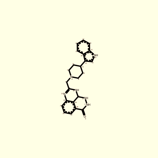 O=C1NNC2NC(CN3CCC(c4c[nH]c5ccccc45)CC3)=Nc3cccc1c32